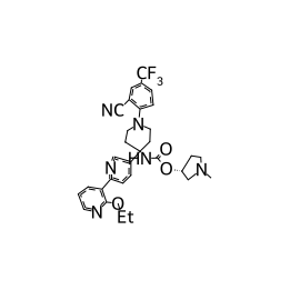 CCOc1ncccc1-c1ccc(C2(NC(=O)O[C@@H]3CCN(C)C3)CCN(c3ccc(C(F)(F)F)cc3C#N)CC2)cn1